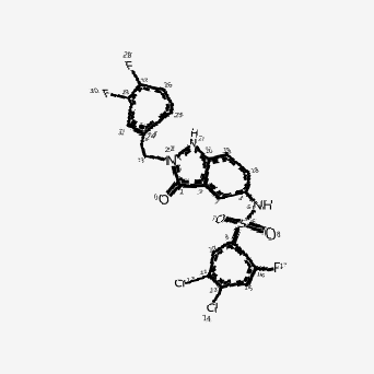 O=c1c2cc(NS(=O)(=O)c3cc(Cl)c(Cl)cc3F)ccc2[nH]n1Cc1ccc(F)c(F)c1